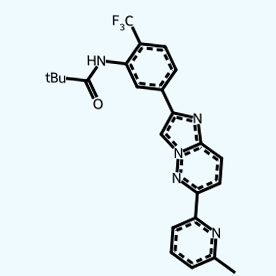 Cc1cccc(-c2ccc3nc(-c4ccc(C(F)(F)F)c(NC(=O)C(C)(C)C)c4)cn3n2)n1